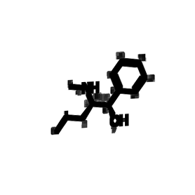 CCC[C@@H](NC)[C@H](O)c1ccccc1